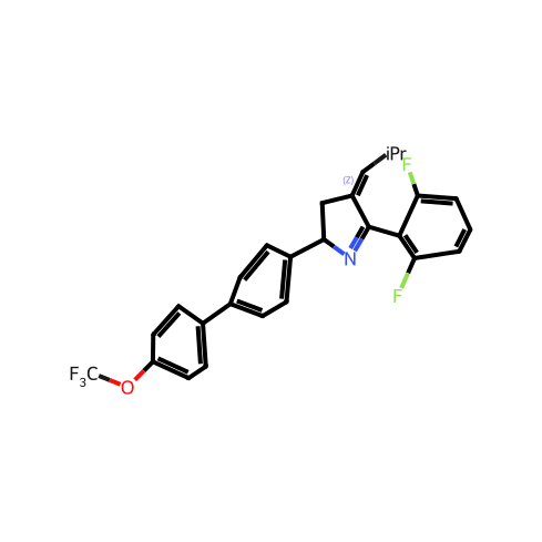 CC(C)/C=C1/CC(c2ccc(-c3ccc(OC(F)(F)F)cc3)cc2)N=C1c1c(F)cccc1F